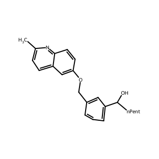 CCCCCC(O)c1cccc(COc2ccc3nc(C)ccc3c2)c1